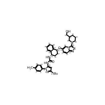 Cc1ccc(-n2nc(C(C)(C)C)cc2NC(=O)N[C@H]2CC[C@@H](Oc3ccc4nnc(N5CCCC(CO)C5)n4c3)c3ccccc32)cc1